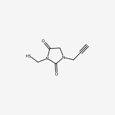 C#CCN1CC(=O)N(CS)C1=O